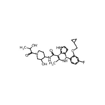 CC1=C(C(=O)NC2CCN(C(=O)C(C)O)CC2O)c2[nH]ccc2C(c2ccc(F)cc2OCC2CC2)N1